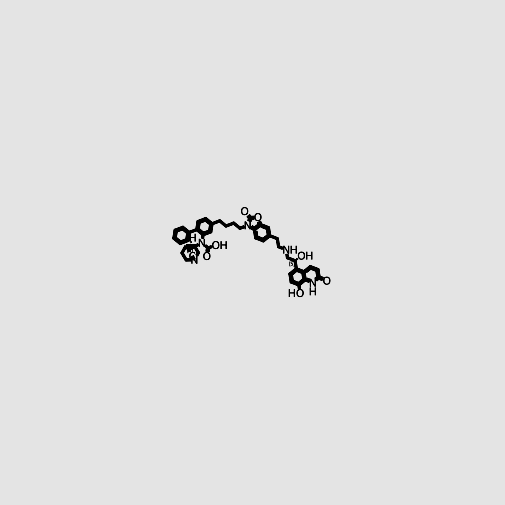 O=C(O)N(c1cc(CCCCn2c(=O)oc3cc(CCNC[C@@H](O)c4ccc(O)c5[nH]c(=O)ccc45)ccc32)ccc1-c1ccccc1)[C@H]1CN2CCC1CC2